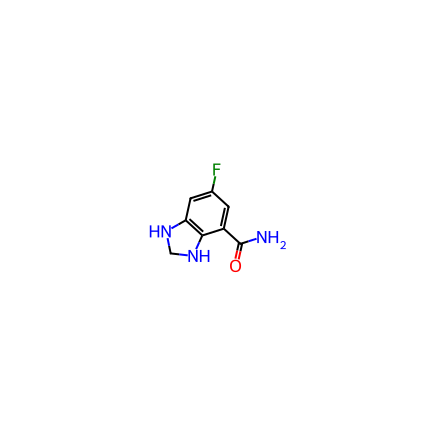 NC(=O)c1cc(F)cc2c1NCN2